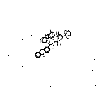 C[C@@H](NC(=O)[C@@H]1C[C@H](C2OCCCO2)CN1C(=O)CNC(=O)c1ccc2c(c1)Cc1ccccc1S2)c1cc2cnccc2[nH]1